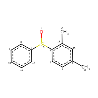 Cc1ccc([S+]([O-])c2[c]cccc2)c(C)c1